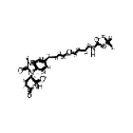 Cn1c(=O)n(C2CCC(=O)NC2=O)c2ccc(CCCCOCCCCNC(=O)OC(C)(C)C)cc21